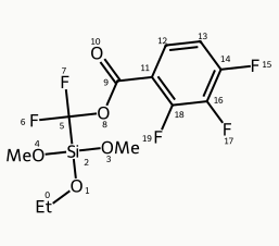 CCO[Si](OC)(OC)C(F)(F)OC(=O)c1ccc(F)c(F)c1F